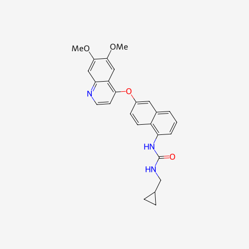 COc1cc2nccc(Oc3ccc4c(NC(=O)NCC5CC5)cccc4c3)c2cc1OC